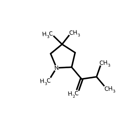 C=C(C(C)C)C1CC(C)(C)CN1C